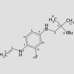 C=CNc1ccc(BCC(C)(C)C(C)(C)C)cc1F